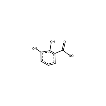 O=NC(=O)c1cccc(N=O)c1O